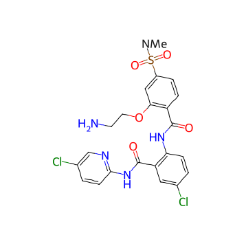 CNS(=O)(=O)c1ccc(C(=O)Nc2ccc(Cl)cc2C(=O)Nc2ccc(Cl)cn2)c(OCCN)c1